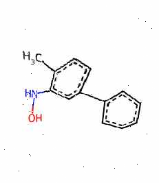 Cc1ccc(-c2ccccc2)cc1NO